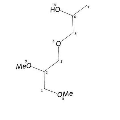 COCC(COCC(C)O)OC